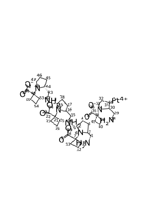 NCC1CCCN1C1(C(=O)[O-])CCC1.NCC1CCCN1C1(C(=O)[O-])CCC1.NCC1CCCN1C1(C(=O)[O-])CCC1.NC[C@H]1CCCN1C1(C(=O)[O-])CCC1.[Pt+4]